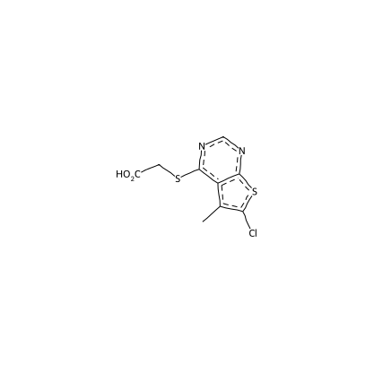 Cc1c(Cl)sc2ncnc(SCC(=O)O)c12